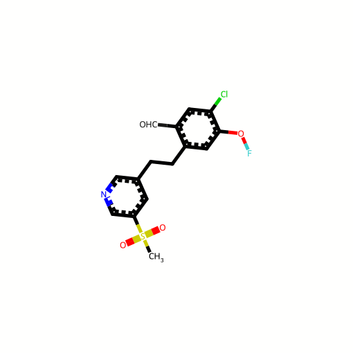 CS(=O)(=O)c1cncc(CCc2cc(OF)c(Cl)cc2C=O)c1